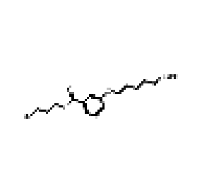 CCCCCCCCCCCCCCCOc1cccc(C(=O)OCCCBr)c1